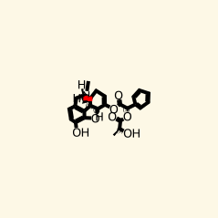 C[C@H](O)C(=O)O[C@H](C(=O)OC1=CC[C@@]2(O)[C@H]3Cc4ccc(O)c5c4[C@@]2(CCN3C)[C@H]1O5)c1ccccc1